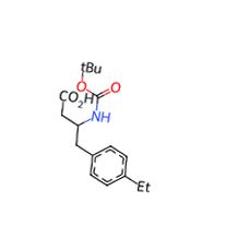 CCc1ccc(CC(CC(=O)O)NC(=O)OC(C)(C)C)cc1